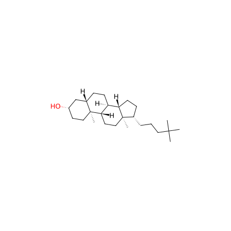 CC(C)(C)CCC[C@H]1CC[C@H]2[C@@H]3CC[C@H]4C[C@@H](O)CC[C@]4(C)[C@H]3CC[C@]12C